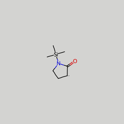 C[Si](C)(C)N1CC[CH]C1=O